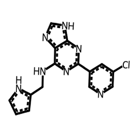 Clc1cncc(-c2nc(NCc3ccc[nH]3)c3nc[nH]c3n2)c1